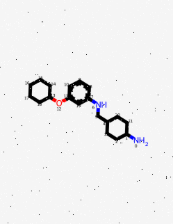 NC1CCC(CNc2cccc(OC3CCCCC3)c2)CC1